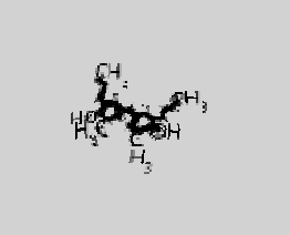 CCCCc1cc(Cc2cc(C)c(O)c(CCCC)c2)cc(C)c1O